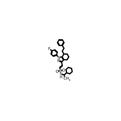 CC(NS(=O)(=O)/C=C/c1nn(-c2ccc(F)cc2)c2c1CCCC2CCc1ccccc1)C1CCCCC1